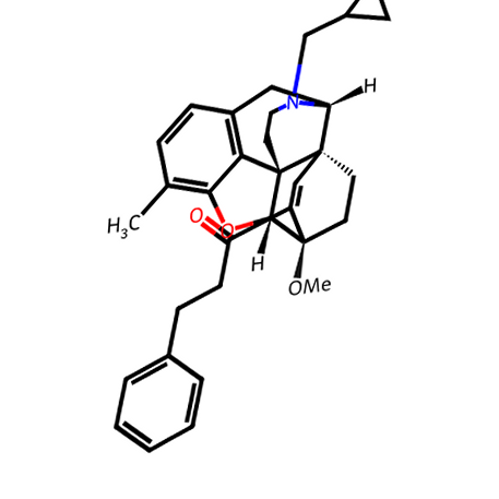 CO[C@]12CC[C@@]3(C=C1C(=O)CCc1ccccc1)[C@H]1Cc4ccc(C)c5c4[C@@]3(CCN1CC1CC1)[C@H]2O5